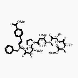 CC[C@H](C)[C@@H]([C@@H](CC(=O)N1CCC[C@H]1[C@H](OC)[C@@H](C)C(=O)N[C@H](/C=C/c1ccc(C(=O)OC)cc1)Cc1ccccc1)OC)N(C)C(=O)[C@@H](NC(=O)[C@H](C(C)C)N(C)C(=O)OC(C)(C)C)C(C)C